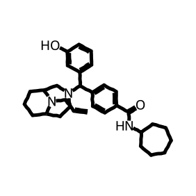 C=CCN1C2CCCC1CN(C(c1ccc(C(=O)NC3CCCCCC3)cc1)c1cccc(O)c1)CC2